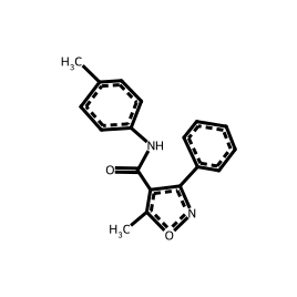 Cc1ccc(NC(=O)c2c(-c3ccccc3)noc2C)cc1